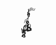 Cc1nc2c(n1Cc1ccccc1)-c1ccccc1N(C(=O)c1ccc(OCCCN3CCN(CCC(C)(C)C)CC3)c(F)c1)CC2